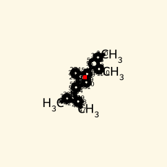 Cc1ccc2c(c1)-c1cc(C)ccc1C(c1cccc(-c3ccccc3-n3c4ccccc4c4cc(-n5c6ccc(C)cc6c6cc(C)ccc65)ccc43)c1)CC2